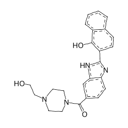 O=C(c1ccc2nc(-c3ccc4ccccc4c3O)[nH]c2c1)N1CCN(CCO)CC1